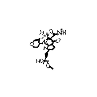 CNC(=O)c1c(N)n(C2CCOCC2)c2nc(C#CC(C)(O)COC)ccc2c1=O